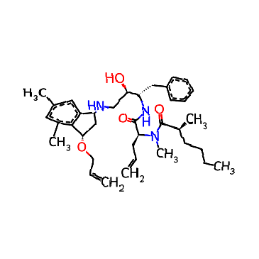 C=CCO[C@H]1C[C@@H](NC[C@@H](O)[C@H](Cc2ccccc2)NC(=O)[C@H](CC=C)N(C)C(=O)[C@@H](C)CCCC)c2cc(C)cc(C)c21